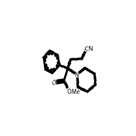 COC(=O)C(CCC#N)(c1ccccc1)N1CCCCC1